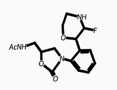 CC(=O)NCC1CN(c2ccccc2C2OCCNC2F)C(=O)O1